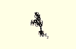 CN(C(=O)OC(C)(C)C)C1CCCN(c2ccc(C(F)(F)F)cc2NC(=O)c2cc(C#Cc3cnc(N)nc3)ccc2F)C1